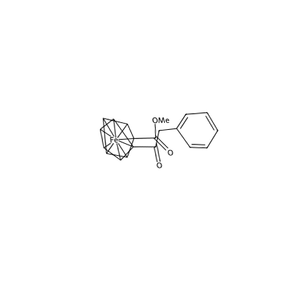 COC(=O)[C]12[CH]3[CH]4[CH]5[CH]1[Fe]45321678[CH]2[CH]1[CH]6[C]7(C(=O)Cc1ccccc1)[CH]28